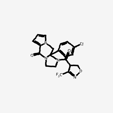 O=C1c2cccn2CC2(c3ccc(Cl)cc3)N1CCN2C(=O)C1CON=C1C(F)(F)F